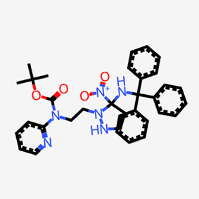 CC(C)(C)OC(=O)N(CCN1NC=CC1(NC(c1ccccc1)(c1ccccc1)c1ccccc1)[N+](=O)[O-])c1ccccn1